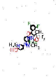 CC(C)[C@H](NC(=O)C(C)(F)F)[C@H](Oc1ccc2c(cnn2C2=CN(C)C(O)C=C2)c1)c1cc(F)cc(F)c1